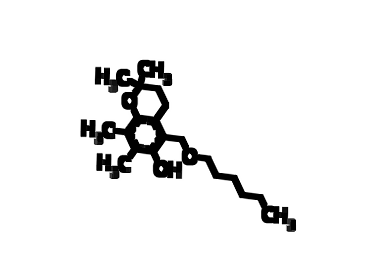 CCCCCCOCc1c(O)c(C)c(C)c2c1CCC(C)(C)O2